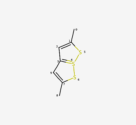 CC1=CC2=S(S1)SC(C)=C2